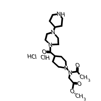 COC(=O)CN(C(C)=O)N1CCC(C(=O)N2CCN(C3CCNCC3)CC2)CC1.Cl.Cl